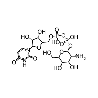 N[C@H]1C(O)[C@@H](O)C(CO)O[C@H]1OP(=O)(O)OP(=O)(O)OCC1OC(n2ccc(=O)[nH]c2=O)[C@H](O)[C@@H]1O